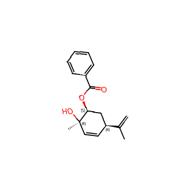 C=C(C)[C@H]1C=C[C@@](C)(O)[C@@H](OC(=O)c2ccccc2)C1